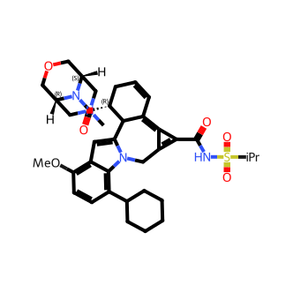 COc1ccc(C2CCCCC2)c2c1cc1n2CC2=C(C(=O)NS(=O)(=O)C(C)C)C2=C2C=CC[C@@H](C(=O)N3[C@@H]4COC[C@H]3CN(C)C4)C21